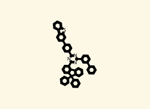 c1ccc(-c2cccc(-c3nc(-c4ccc(-c5ccc6c(c5)sc5ccccc56)cc4)nc(-c4cccc5c4-c4ccccc4C5(c4ccccc4)c4ccccc4)n3)c2)cc1